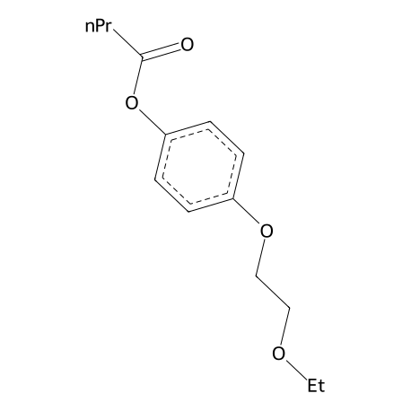 CCCC(=O)Oc1ccc(OCCOCC)cc1